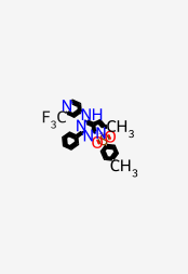 Cc1ccc(S(=O)(=O)n2c(C)cc3c(Nc4ccnc(C(F)(F)F)c4)nc(-c4ccccc4)nc32)cc1